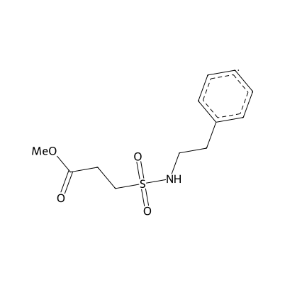 COC(=O)CCS(=O)(=O)NCCc1cc[c]cc1